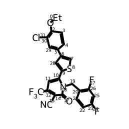 CCOc1ccc(-c2csc(-c3cc(C(F)(F)F)c(C#N)c(=O)n3Cc3ccc(F)cc3F)c2)cc1Cl